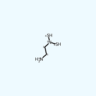 NCCN(S)S